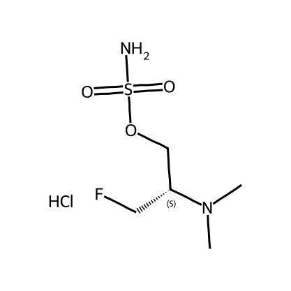 CN(C)[C@H](CF)COS(N)(=O)=O.Cl